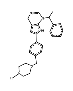 CCN1CCN(Cc2ccc(-c3cc4c([nH]3)N(C(C)c3ccccc3)C=NC4)cc2)CC1